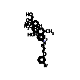 C[C@H]1C[C@@H]2[C@H]([C@@H](O)C[C@@]3(C)[C@H]2CC[C@]3(O)C(=O)CO)[C@@]2(C)C=C/C(=N\OCCOc3cccc(Br)c3)C=C12